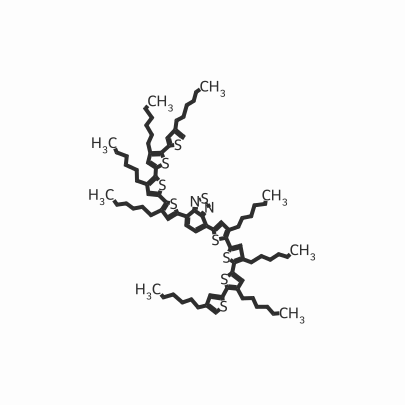 CCCCCCc1csc(-c2sc(-c3sc(-c4sc(-c5ccc(-c6cc(CCCCCC)c(-c7cc(CCCCCC)c(-c8cc(CCCCCC)c(-c9cc(CCCCCC)cs9)s8)s7)s6)c6nsnc56)cc4CCCCCC)cc3CCCCCC)cc2CCCCCC)c1